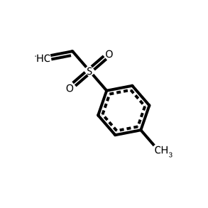 [CH]=CS(=O)(=O)c1ccc(C)cc1